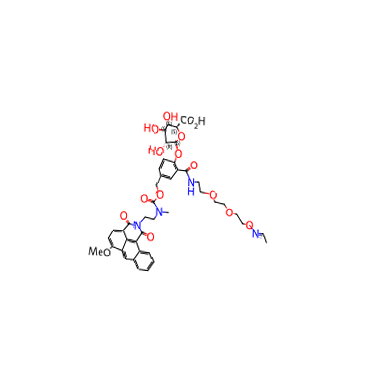 C/C=N/OCCOCCOCCNC(=O)c1cc(COC(=O)N(C)CCN2C(=O)c3ccc(OC)c4cc5ccccc5c(c34)C2=O)ccc1O[C@@H]1O[C@H](C(=O)O)[C@@H](O)[C@H](O)[C@H]1O